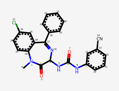 CN1C(=O)C(NC(=O)Nc2cccc(C#N)c2)N=C(c2ccccc2)c2cc(Cl)ccc21